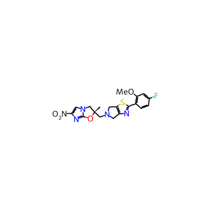 COc1cc(F)ccc1-c1nc2c(s1)CN(C[C@@]1(C)Cn3cc([N+](=O)[O-])nc3O1)C2